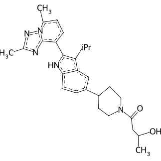 Cc1nc2c(-c3[nH]c4ccc(C5CCN(C(=O)CC(C)O)CC5)cc4c3C(C)C)ccc(C)n2n1